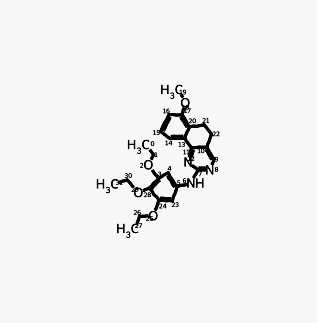 CCOc1cc(Nc2ncc3c(n2)-c2cccc(OC)c2CC3)cc(OCC)c1OCC